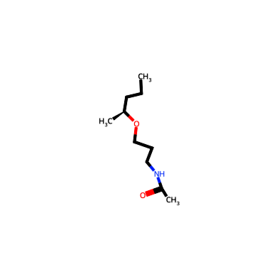 CCC[C@H](C)OCCCNC(C)=O